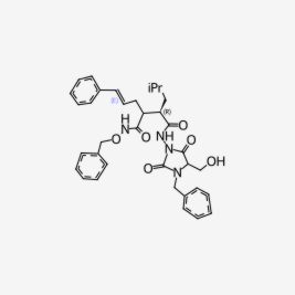 CC(C)C[C@@H](C(=O)NN1C(=O)C(CO)N(Cc2ccccc2)C1=O)C(C/C=C/c1ccccc1)C(=O)NOCc1ccccc1